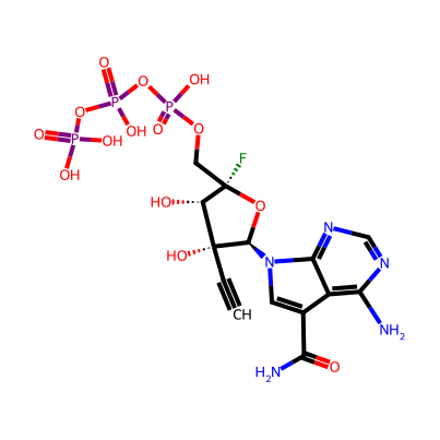 C#C[C@]1(O)[C@H](n2cc(C(N)=O)c3c(N)ncnc32)O[C@](F)(COP(=O)(O)OP(=O)(O)OP(=O)(O)O)[C@H]1O